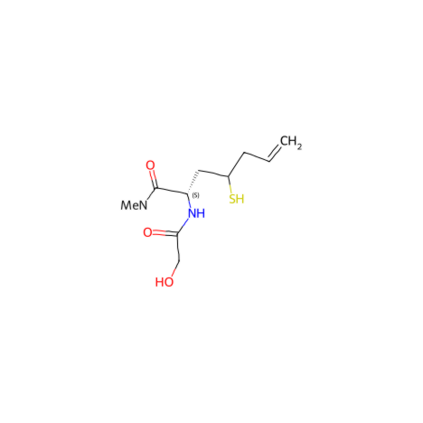 C=CCC(S)C[C@H](NC(=O)CO)C(=O)NC